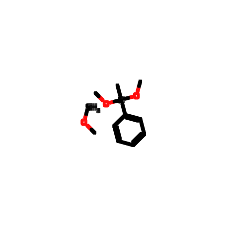 CO[SiH3].CO[Si](C)(OC)c1ccccc1